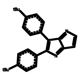 CC(C)(C)c1ccc(C2=C(c3ccc(C(C)(C)C)cc3)C3=NC=CC3=N2)cc1